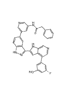 O=C(Cc1ccccc1)Nc1cncc(-c2ccc3[nH]nc(-c4cc5c(-c6cc(O)cc(F)c6)cncc5[nH]4)c3c2)c1